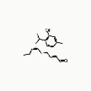 CC/C=C\CC/C=C/C=O.Cc1ccc(C(C)C)c(O)c1